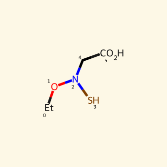 CCON(S)CC(=O)O